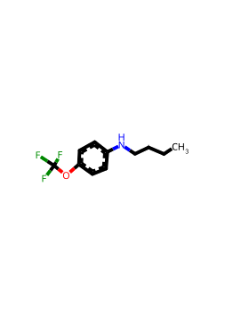 CC[CH]CNc1ccc(OC(F)(F)F)cc1